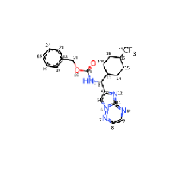 O=C(N[C@H](c1cn2nccnc2n1)C1CCC(C(F)(F)F)CC1)OCc1ccccc1